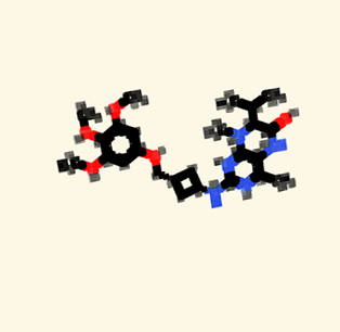 COc1cc(OC[C@H]2C[C@@H](Nc3nc(C)c4c(n3)N(C)C(C(C)C)C(=O)N4)C2)cc(OC)c1OC